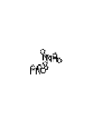 c1ccc(-c2cccc(C3CC(c4ccccc4)N=C(c4ccc5c(ccc6ccc7c(c65)OC(c5ccccc5)N7)c4)N3)c2)cc1